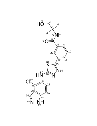 CC(C)(CO)NC(=O)c1cccc(-c2nnc(Nc3ccc4[nH]ncc4c3Cl)s2)c1